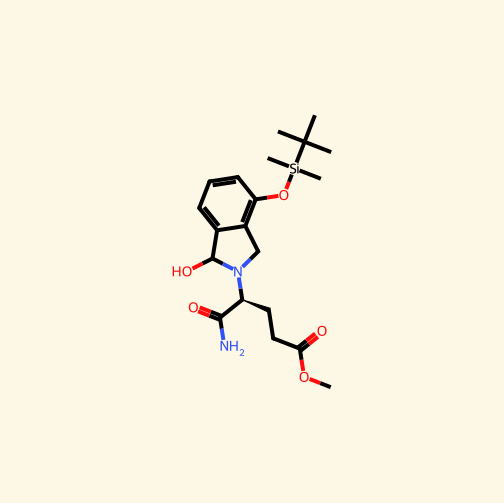 COC(=O)CC[C@@H](C(N)=O)N1Cc2c(O[Si](C)(C)C(C)(C)C)cccc2C1O